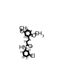 COc1ccc(OC)c(CCC(=O)Nc2cccc(Cl)c2)c1